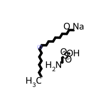 CCCCCCCC/C=C\CCCCCCCC(=O)[CH2][Na].NCCS(=O)(=O)O